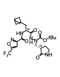 CC(C)(C)OC(=O)N(C[C@@H]1CCNC1=O)NC(=O)[C@H](CC12CC(C1)C2)NC(=O)c1cc(C(F)(F)F)on1